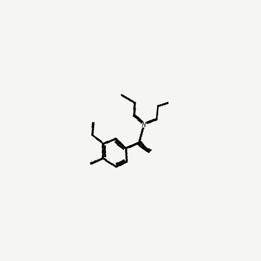 C=C(c1ccc(C)c(CC)c1)N(CCC)CCC